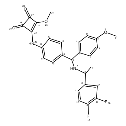 COc1ccc(C(NC(C)c2ccc(F)c(F)c2)c2ccc(Nc3c(OC)c(=O)c3=O)cc2)cc1